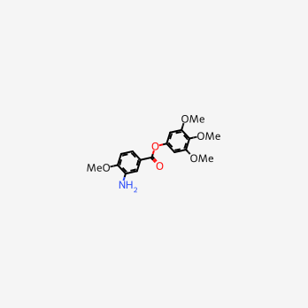 COc1ccc(C(=O)Oc2cc(OC)c(OC)c(OC)c2)cc1N